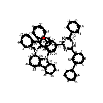 c1ccc(-c2cccc(-c3nc(-c4ccccc4)nc(-c4cc(-c5ccccc5)cc(-n5c6ccccc6c6cccc(-n7c8ccccc8c8ccccc87)c65)c4)n3)c2)cc1